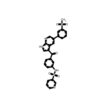 CS(=O)(=O)c1cccc(-c2cnc3[nH]cc(C(=O)c4cccc(NS(=O)(=O)c5cccnc5)c4)c3c2)c1